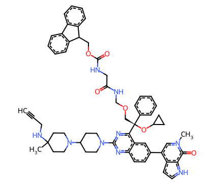 C#CCNC1(C)CCN(C2CCN(c3nc([C@@](COCNC(=O)CNC(=O)OCC4c5ccccc5-c5ccccc54)(OC4CC4)c4ccccc4)c4cc(-c5cn(C)c(=O)c6[nH]ccc56)ccc4n3)CC2)CC1